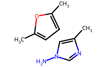 Cc1ccc(C)o1.Cc1cn(N)cn1